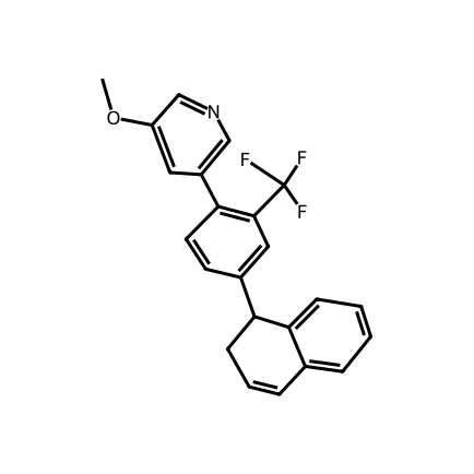 COc1cncc(-c2ccc(C3CC=Cc4ccccc43)cc2C(F)(F)F)c1